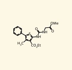 CCOC(=O)c1c(NC(=O)NCC(=O)OC)sc(-c2ccccc2)c1C